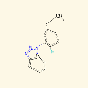 CCc1ccc(F)c(-n2nnc3ccccc32)c1